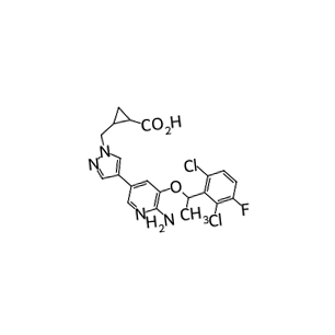 CC(Oc1cc(-c2cnn(CC3CC3C(=O)O)c2)cnc1N)c1c(Cl)ccc(F)c1Cl